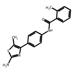 Cc1ccccc1C(=O)Nc1ccc(-c2nc(N)sc2C)cc1